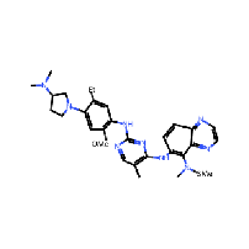 CCc1cc(Nc2ncc(C)c(Nc3ccc4nccnc4c3N(C)SC)n2)c(OC)cc1N1CCC(N(C)C)C1